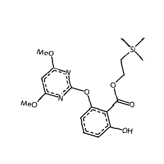 COc1cc(OC)nc(Oc2cccc(O)c2C(=O)OCC[Si](C)(C)C)n1